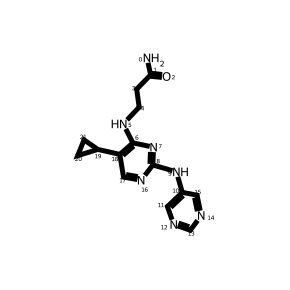 NC(=O)CCNc1nc(Nc2cncnc2)ncc1C1CC1